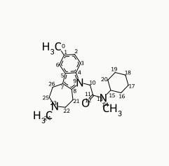 Cc1ccc2c(c1)c1c(n2CC(=O)N(C)C2CCCCC2)CCN(C)CC1